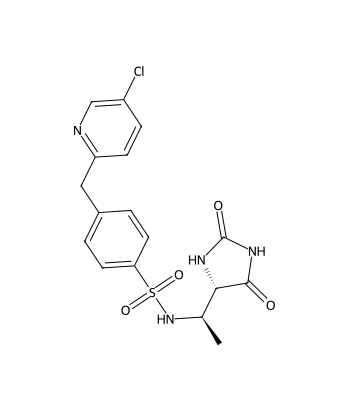 C[C@@H](NS(=O)(=O)c1ccc(Cc2ccc(Cl)cn2)cc1)[C@@H]1NC(=O)NC1=O